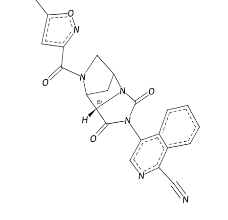 Cc1cc(C(=O)N2CC3CC2[C@H]2C(=O)N(c4cnc(C#N)c5ccccc45)C(=O)N32)no1